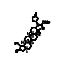 COC(=O)N(C1CCN(C)C1)C1CC[C@]2(C)[C@H]3CC[C@@H]4C5=C(C(C)C)C(=O)C[C@]5(C)CC[C@@]4(C)[C@]3(C)CC[C@H]2C1(C)C